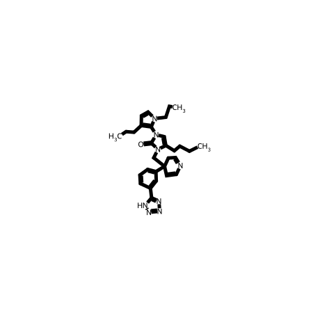 CCCCc1cn(-c2c(CCC)ccn2CCC)c(=O)n1CC1(c2cccc(-c3nnn[nH]3)c2)C=CN=CC1